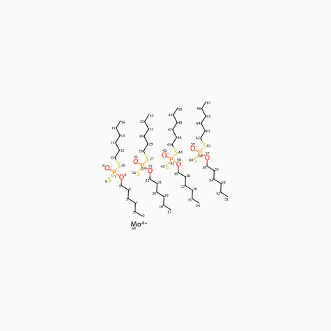 CCCCCCOP([O-])(=S)SCCCCCC.CCCCCCOP([O-])(=S)SCCCCCC.CCCCCCOP([O-])(=S)SCCCCCC.CCCCCCOP([O-])(=S)SCCCCCC.[Mo+4]